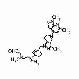 Cc1cc(N2CCc3c(c(C)nn3CC34CCC(N(C)CCN(C)CC=O)(CC3)C4)C2)c2cnn(C)c2n1